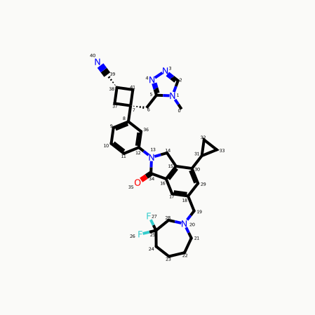 Cn1cnnc1C[C@]1(c2cccc(N3Cc4c(cc(CN5CCCCC(F)(F)C5)cc4C4CC4)C3=O)c2)C[C@H](C#N)C1